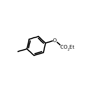 CCOC(=O)Oc1ccc(C)cc1